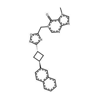 Cn1cnc2ncn(Cc3nc([C@H]4C[C@H](c5ccc6ccccc6c5)C4)no3)c(=O)c21